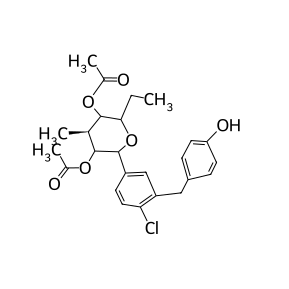 CCC1OC(c2ccc(Cl)c(Cc3ccc(O)cc3)c2)C(OC(C)=O)[C@@H](C)C1OC(C)=O